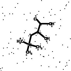 C[N+](C)(C)CC(O)C(O)Cl